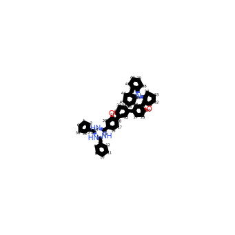 c1ccc(C2NC(c3ccccc3)NC(c3ccc4c(c3)oc3ccc(-c5ccc6oc7cccc(-n8c9ccccc9c9ccccc98)c7c6c5)cc34)N2)cc1